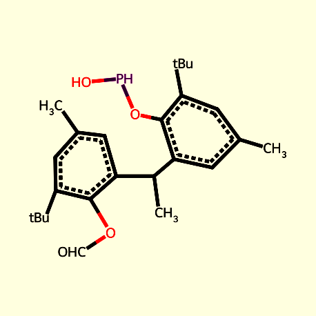 Cc1cc(C(C)c2cc(C)cc(C(C)(C)C)c2OPO)c(OC=O)c(C(C)(C)C)c1